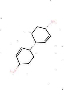 BC1C=CC([C@H]2C=C[C@@H](B)CC2)CC1